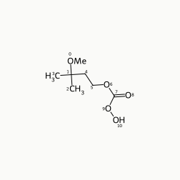 COC(C)(C)CCOC(=O)OO